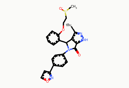 C[S+]([O-])CCOc1ccccc1C1c2c(C(C)(C)C)n[nH]c2C(=O)N1c1ccc(-c2ccon2)cc1